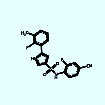 Cc1cccc(-c2cc(S(=O)(=O)Nc3ccc(C#N)cc3F)c[nH]2)c1F